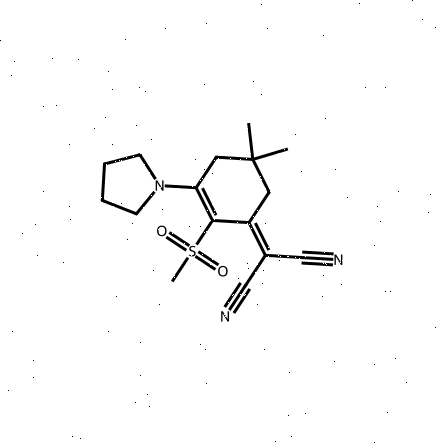 CC1(C)CC(=C(C#N)C#N)C(S(C)(=O)=O)=C(N2CCCC2)C1